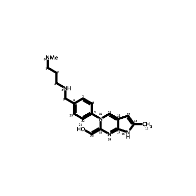 CNCCCNCc1ccc(N2C=c3cc(C)[nH]c3=N/C2=C/O)cc1